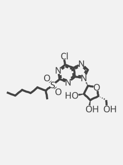 CCCCCC(C)S(=O)(=O)c1nc(Cl)c2ncn([C@@H]3O[C@H](CO)[C@@H](O)[C@H]3O)c2n1